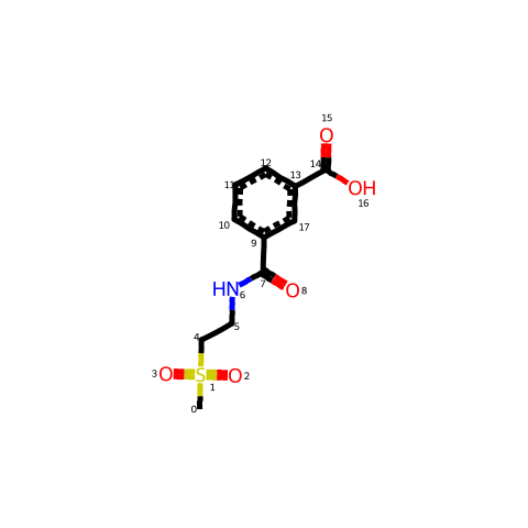 CS(=O)(=O)CCNC(=O)c1cccc(C(=O)O)c1